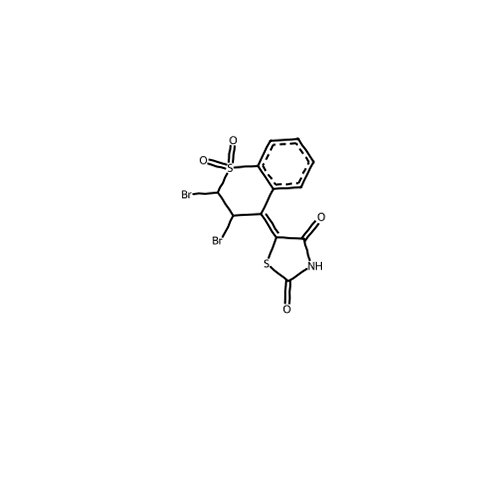 O=C1NC(=O)C(=C2c3ccccc3S(=O)(=O)C(Br)C2Br)S1